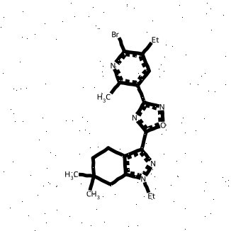 CCc1cc(-c2noc(-c3nn(CC)c4c3CCC(C)(C)C4)n2)c(C)nc1Br